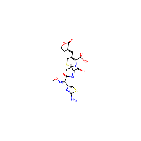 CO/N=C(\C(=O)N[C@@H]1C(=O)N2C(C(=O)O)=C(C=C3CCOC3=O)CS[C@@H]12)c1csc(N)n1